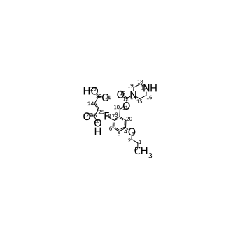 CCCOc1ccc(F)c(COC(=O)N2CCNCC2)c1.O=C(O)C=CC(=O)O